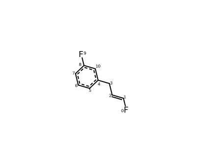 FC=CCc1cccc(F)c1